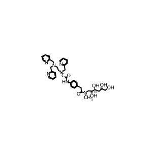 CN(C[C@H](O)[C@@H](O)C[C@H](O)CO)C(=O)Cc1ccc(NC(=O)CN(CCN(Cc2ccccn2)Cc2ccccn2)Cc2ccccn2)cc1